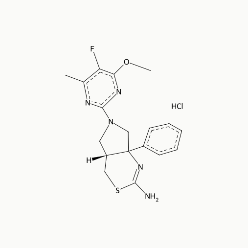 COc1nc(N2C[C@H]3CSC(N)=NC3(c3ccccc3)C2)nc(C)c1F.Cl